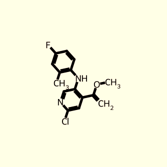 C=C(OC)c1cc(Cl)ncc1Nc1ccc(F)cc1C